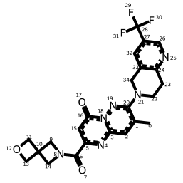 Cc1cc2nc(C(=O)N3CC4(COC4)C3)cc(=O)n2nc1N1CCc2ncc(C(F)(F)F)cc2C1